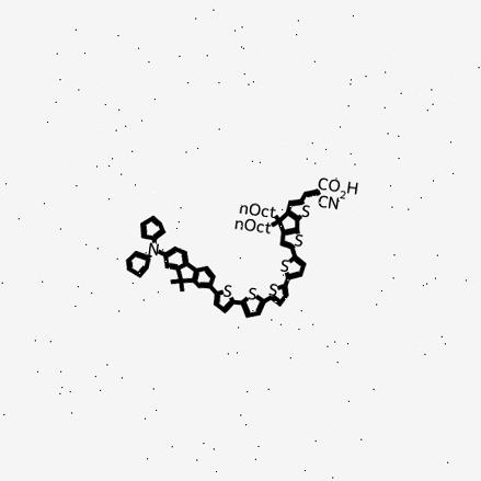 CCCCCCCCC1(CCCCCCCC)c2cc(/C=C(\C#N)C(=O)O)sc2-c2sc(-c3ccc(-c4ccc(-c5ccc(-c6ccc(-c7ccc8c(c7)C(C)(C)c7cc(N(c9ccccc9)c9ccccc9)ccc7-8)s6)s5)s4)s3)cc21